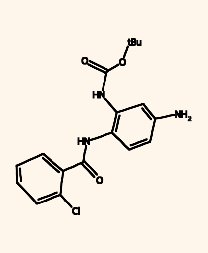 CC(C)(C)OC(=O)Nc1cc(N)ccc1NC(=O)c1ccccc1Cl